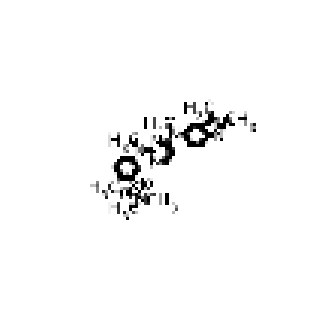 Cc1ccc(N(C)c2nccc(N(C)c3ccc4nn(C)c(C)c4c3)n2)cc1S(=O)(=O)N(C)C